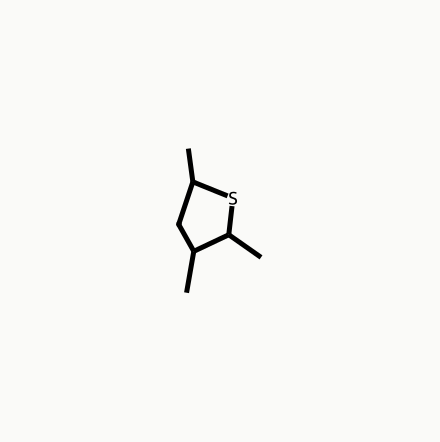 CC1CC(C)C(C)S1